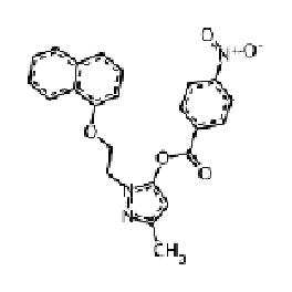 Cc1cc(OC(=O)c2ccc([N+](=O)[O-])cc2)n(CCOc2cccc3ccccc23)n1